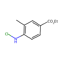 CCOC(=O)c1ccc(NCl)c(C)c1